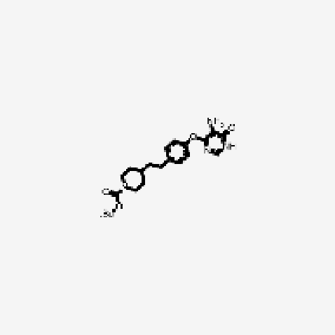 CC(C)(C)OC(=O)N1CCC(CCc2ccc(Oc3nc[nH]c(=O)c3N)cc2)CC1